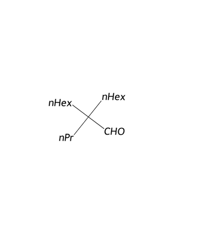 CCCCCCC(C=O)(CCC)CCCCCC